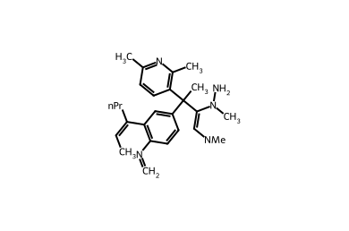 C=Nc1ccc(C(C)(/C(=C/NC)N(C)N)c2ccc(C)nc2C)cc1/C(=C\C)CCC